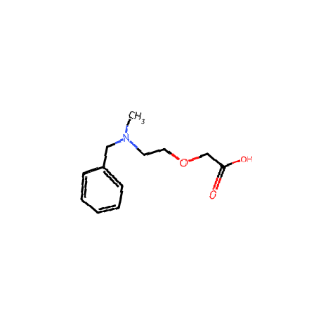 CN(CCOCC(=O)O)Cc1ccccc1